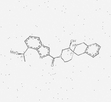 CO[C@H](C)c1cccn2cc(C(=O)N3CC[C@]4(Cc5ccccc5CN4)[C@H](O)C3)nc12